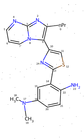 CCCc1nc2ncccn2c1-c1csc(-c2cc(N(C)C)ccc2N)n1